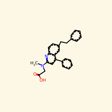 CN(CC(=O)O)c1cc(-c2ccccc2)c2cc(CCc3ccccc3)ccc2n1